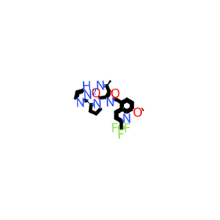 COc1ccc(-c2nc(C(=O)N3CCC[C@@H]3c3ncccn3)c([C@H](C)N)o2)c2ccc(C(F)(F)F)nc12